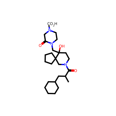 CC(CC1CCCCC1)C(=O)N1CCC(O)(CN2CCN(C(=O)O)CC2=O)C2(CCCC2)C1